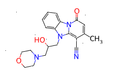 Cc1cc(=O)n2c3ccccc3n(CC(O)CN3CCOCC3)c2c1C#N